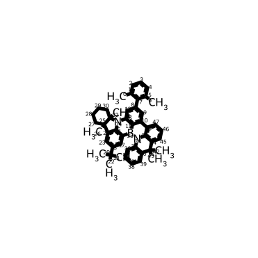 Cc1cccc(C)c1-c1cc2c3c(c1)N1c4c(cc(C(C)(C)C)cc4C4(C)CCCCC14C)B3N1c3ccccc3C(C)(C)c3cccc-2c31